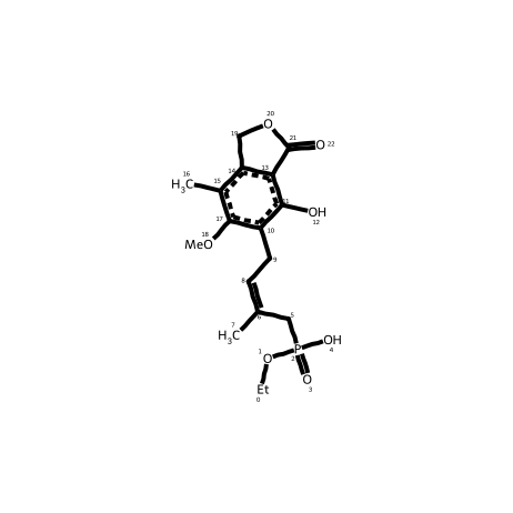 CCOP(=O)(O)CC(C)=CCc1c(O)c2c(c(C)c1OC)COC2=O